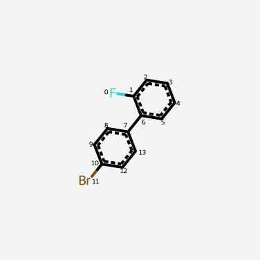 Fc1c[c]ccc1-c1ccc(Br)cc1